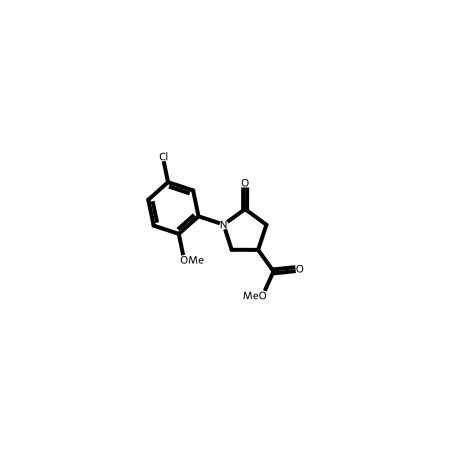 COC(=O)C1CC(=O)N(c2cc(Cl)ccc2OC)C1